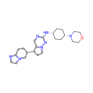 c1cn2cc(-c3ccn4nc(N[C@H]5CC[C@@H](N6CCOCC6)CC5)ncc34)ccc2n1